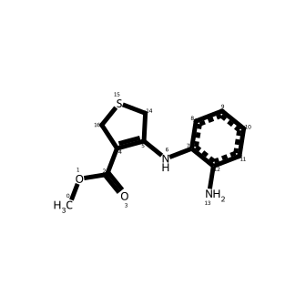 COC(=O)C1=C(Nc2ccccc2N)CSC1